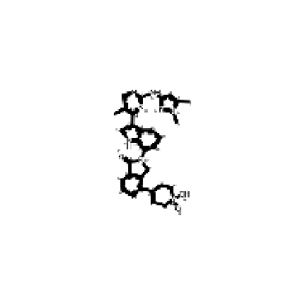 Cc1cnc(Nc2cc(C)n(C)n2)nc1-c1c[nH]c2c(N3Cc4c(cccc4C4=CCS(O)(O)CC4)C3=O)cccc12